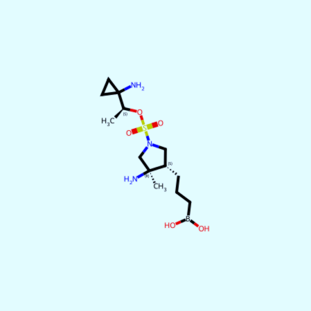 C[C@H](OS(=O)(=O)N1C[C@H](CCCB(O)O)[C@@](C)(N)C1)C1(N)CC1